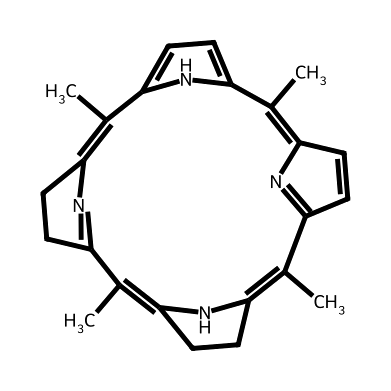 Cc1c2nc(c(C)c3ccc([nH]3)c(C)c3nc(c(C)c4[nH]c1CC4)CC3)C=C2